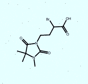 CN1C(=O)N(CCC(Br)C(=O)O)C(=O)C1(C)C